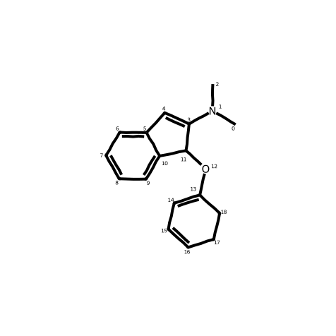 CN(C)C1=Cc2ccccc2C1OC1=CC=CCC1